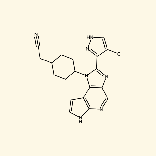 N#CCC1CCC(n2c(-c3n[nH]cc3Cl)nc3cnc4[nH]ccc4c32)CC1